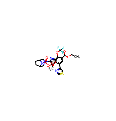 CCOC(=O)c1cc(-c2cscn2)c2oc(N3CC4CCC(C3)N4C(=O)OC(C)(C)C)nc2c1OC(F)(F)F